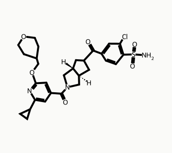 NS(=O)(=O)c1ccc(C(=O)C2C[C@H]3CN(C(=O)c4cc(OCC5CCOCC5)nc(C5CC5)c4)C[C@@H]3C2)cc1Cl